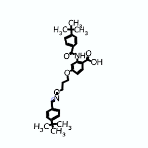 CC(C)(C)c1ccc(/C=N/OCCCOc2ccc(C(=O)O)c(NC(=O)c3ccc(C(C)(C)C)cc3)c2)cc1